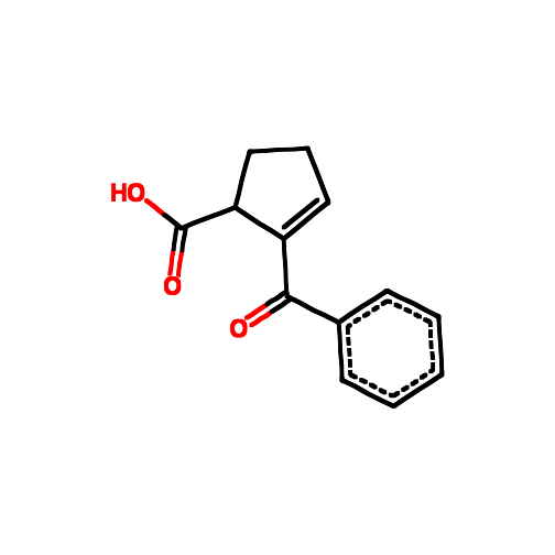 O=C(C1=CCCC1C(=O)O)c1ccccc1